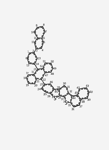 c1cc(-c2ccc3ccccc3c2)cc(-c2c3ccccc3c(-c3ccc4sc5c(ccc6c5sc5ccc7ccccc7c56)c4c3)c3ccccc23)c1